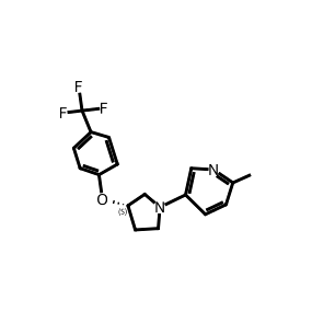 Cc1ccc(N2CC[C@H](Oc3ccc(C(F)(F)F)cc3)C2)cn1